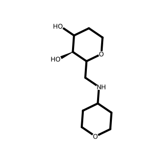 OC1CCOC(CNC2CCOCC2)[C@H]1O